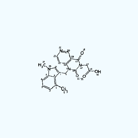 Cc1cccc2c1c(Cn1c(=O)n(CC(=O)O)c(=O)c3cnccc31)cn2C